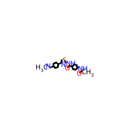 C/N=C/c1ccc(-c2csc(NC(=O)c3ccc(NC(C)=O)cc3)n2)cc1